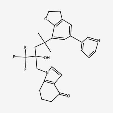 CC(C)(CC(O)(Cn1ccc2c1CCCC2=O)C(F)(F)F)c1cc(-c2cccnc2)cc2c1OCC2